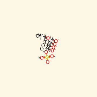 O=S(=O)([O-])[O-].O=[N+]([O-])[O-].O=[N+]([O-])[O-].O=[N+]([O-])[O-].O=[N+]([O-])[O-].O=[N+]([O-])[O-].[V]